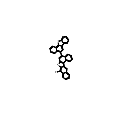 Clc1c2ccccc2cc2c1oc1cc(-c3cc4c5ccccc5sc4c4ccccc34)c3ccccc3c12